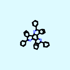 c1ccc(-c2nc3c(c4c2C2CCC4C2)c2nc(-c4ccccc4)c4c(c2c2nc(-c5ccccc5)c5c(c32)C2CCC5C2)C2CCC4C2)cc1